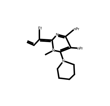 C=C/C(CC)=C1/N=C(CCC)C(CCC)=C(N2CCCCC2)N1C